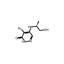 CC(=O)c1c(N[C@@H](C)CO)cn[nH]c1=O